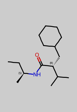 CC[C@H](C)NC(=O)[C@H](CC1CCCCC1)C(C)C